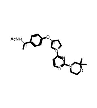 CC(=O)N[C@@H](C)c1ccc(O[C@@H]2CCN(c3ccnc(N4CCOC(C)(C)C4)n3)C2)cc1